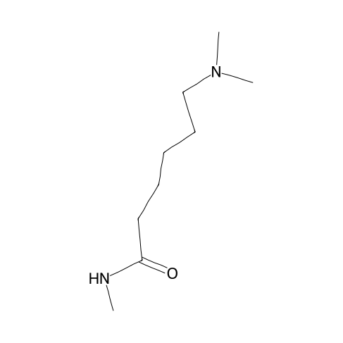 CNC(=O)CCCCCN(C)C